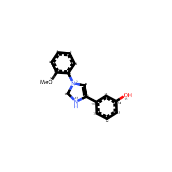 COc1ccccc1N1C=C(c2cccc(O)c2)NC1